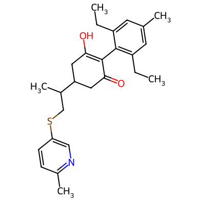 CCc1cc(C)cc(CC)c1C1=C(O)CC(C(C)CSc2ccc(C)nc2)CC1=O